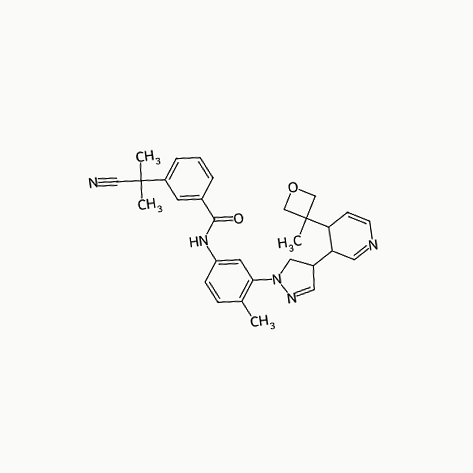 Cc1ccc(NC(=O)c2cccc(C(C)(C)C#N)c2)cc1N1CC(C2C=NC=CC2C2(C)COC2)C=N1